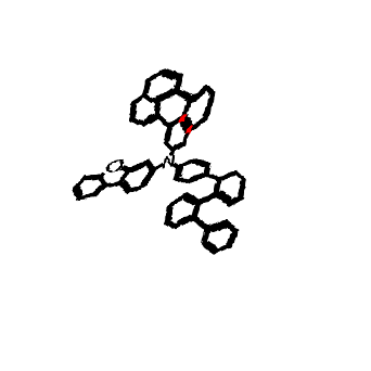 c1ccc(-c2ccccc2-c2ccccc2-c2ccc(N(c3cccc(-c4cccc5cccc(-c6ccccc6)c45)c3)c3ccc4c(c3)oc3ccccc34)cc2)cc1